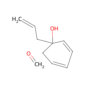 C=CCC1(O)C=CC=CC1.C=O